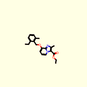 CCOC(=O)c1c(C)nc2c(OCc3c(C)cccc3CC)cccn12